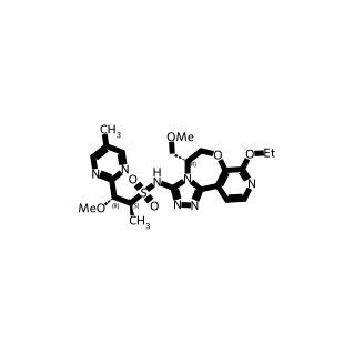 CCOc1nccc2c1OC[C@@H](COC)n1c(NS(=O)(=O)[C@@H](C)[C@H](OC)c3ncc(C)cn3)nnc1-2